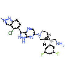 Cn1cc2c(Cl)c(-c3n[nH]c4nc(N5CC[C@@H]6[C@H](C5)[C@@]6(CN)c5cc(F)cc(F)c5)cnc34)ccc2n1